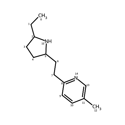 CCC1CCC(CCc2ccc(C)cn2)N1